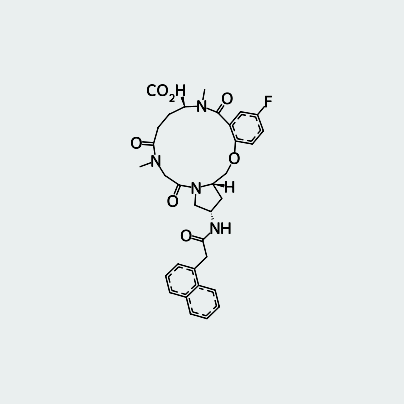 CN1CC(=O)N2C[C@@H](NC(=O)Cc3cccc4ccccc34)C[C@H]2COc2ccc(F)cc2C(=O)N(C)[C@H](C(=O)O)CCC1=O